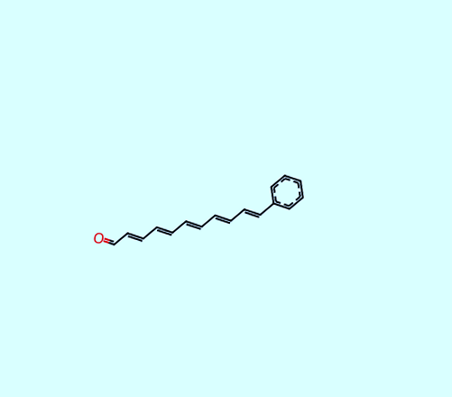 O=C/C=C/C=C/C=C/C=C/C=C/c1ccccc1